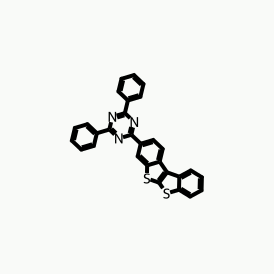 c1ccc(-c2nc(-c3ccccc3)nc(-c3ccc4c(c3)sc3sc5ccccc5c34)n2)cc1